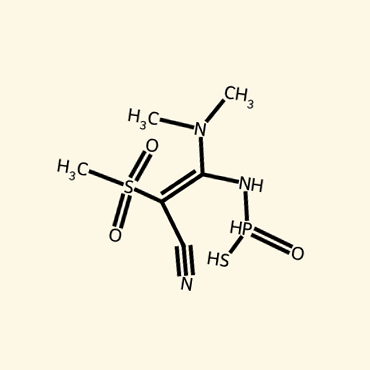 CN(C)C(N[PH](=O)S)=C(C#N)S(C)(=O)=O